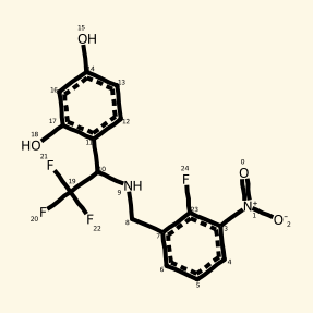 O=[N+]([O-])c1cccc(CNC(c2ccc(O)cc2O)C(F)(F)F)c1F